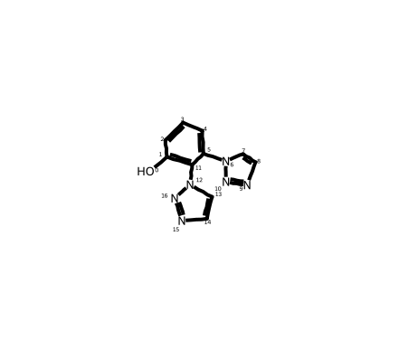 Oc1cccc(-n2ccnn2)c1-n1ccnn1